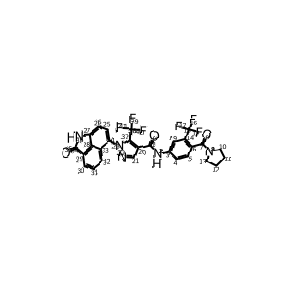 O=C(Nc1ccc(C(=O)N2CCCC2)c(C(F)(F)F)c1)c1cnn(-c2ccc3c4c(cccc24)C(=O)N3)c1C(F)(F)F